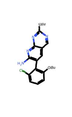 CSc1ncc2cc(-c3c(Cl)cccc3OCC(C)C)c(N)nc2n1